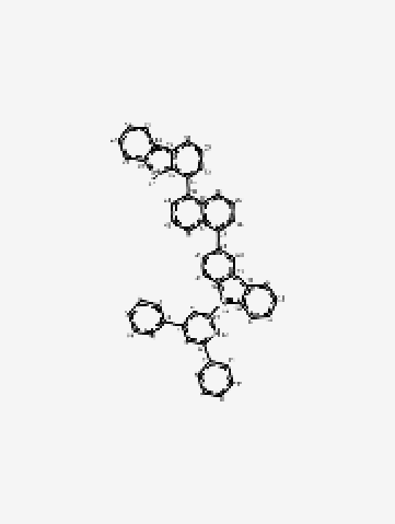 c1ccc(-c2cc(-c3ccccc3)nc(-n3c4ccccc4c4cc(-c5cccc6c(-c7cccc8c7sc7ccccc78)cccc56)ccc43)c2)cc1